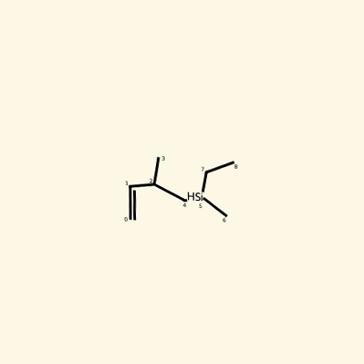 C=CC(C)C[SiH](C)CC